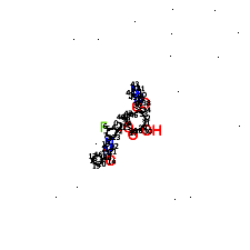 C/C(=C\c1cc(F)cc(N2CCN(C(=O)C3CCCCC3)CC2)c1)[C@H]1OC(=O)C[C@H](O)CC[C@H](C)[C@@H](OC(=O)N2CCN(C)CC2)/C=C/[C@@H]1C